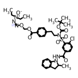 CC[N+]([O-])(CC)/N=N\OCOC(=O)c1ccc(CCN(C(=O)OC(C)(C)C)S(=O)(=O)c2cc(C(=O)NN3c4ccccc4CC3C)ccc2Cl)cc1